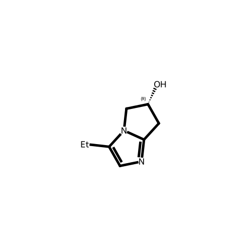 CCc1cnc2n1C[C@H](O)C2